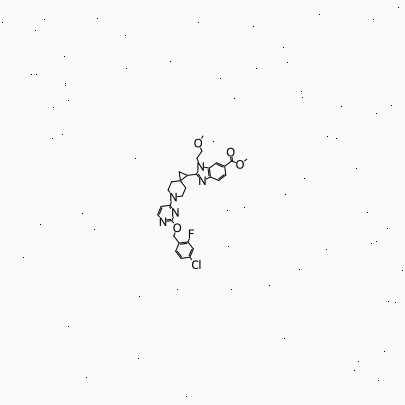 COCCn1c(C2CC23CCN(c2ccnc(OCc4ccc(Cl)cc4F)n2)CC3)nc2ccc(C(=O)OC)cc21